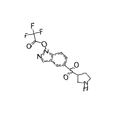 O=C(On1ncc2cc(S(=O)(=O)C3CCNC3)ccc21)C(F)(F)F